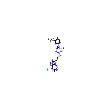 FC(F)(F)c1cccc(N2CCN(CCCn3cnc4c(Cl)ncnc43)CC2)c1